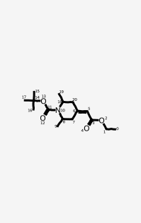 CCOC(=O)C=C1CC(C)N(C(=O)OC(C)(C)C)C(C)C1